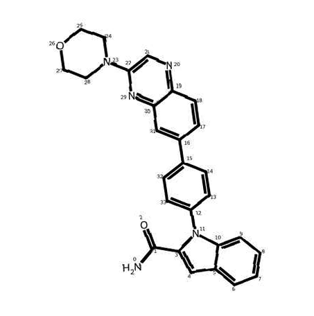 NC(=O)c1cc2ccccc2n1-c1ccc(-c2ccc3ncc(N4CCOCC4)nc3c2)cc1